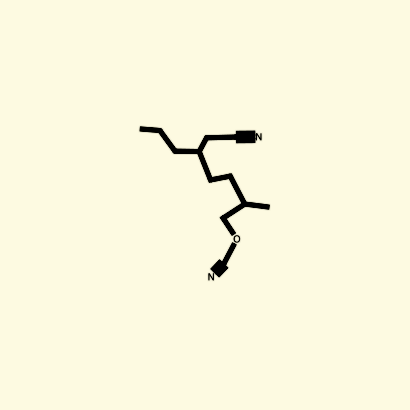 CCCC(CC#N)CCC(C)COC#N